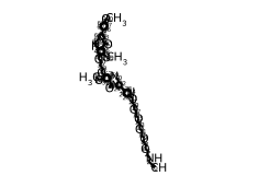 C#CCNCCOCCOCCOCCOCCOCCOc1ccc(C2=CN3C(=O)c4cc(OC)c(OCCCOc5cc6c(cc5OC)C(=O)N5C=C(c7ccc(OC)cc7)CC5C=N6)cc4N=CC3C2)cn1